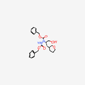 O=C(NN(C(=O)OCc1ccccc1)C(CO)CC1CCCOC1)OCc1ccccc1